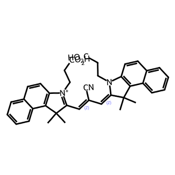 CC1(C)C(/C=C(C#N)/C=C2\N(CCC(=O)O)c3ccc4ccccc4c3C2(C)C)=[N+](CCC(=O)O)c2ccc3ccccc3c21